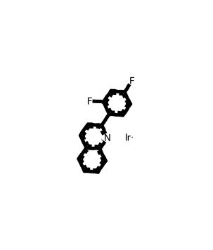 Fc1ccc(-c2ccc3ccccc3n2)c(F)c1.[Ir]